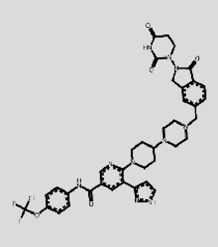 O=C1CCN(N2Cc3cc(CN4CCN(C5CCN(c6ncc(C(=O)Nc7ccc(OC(F)(F)Cl)cc7)cc6-c6cc[nH]n6)CC5)CC4)ccc3C2=O)C(=O)N1